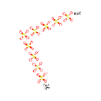 O=S(=O)([O-])[O-].O=S(=O)([O-])[O-].O=S(=O)([O-])[O-].O=S(=O)([O-])[O-].O=S(=O)([O-])[O-].O=S(=O)([O-])[O-].O=S(=O)([O-])[O-].O=S(=O)([O-])[O-].O=S(=O)([O-])[O-].[Fe+3].[Fe+3].[U+6].[U+6]